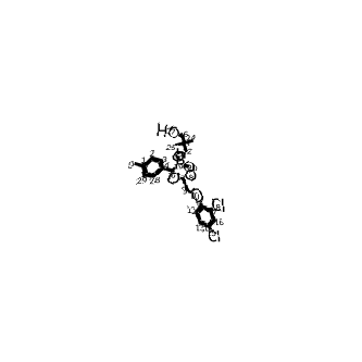 Cc1ccc(C(OC(=O)COc2ccc(Cl)cc2Cl)[PH](=O)OCC(C)(C)CO)cc1